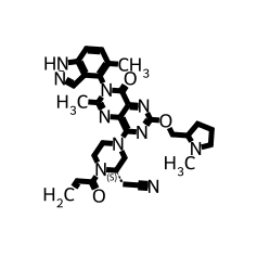 C=CC(=O)N1CCN(c2nc(OCC3CCCN3C)nc3c(=O)n(-c4c(C)ccc5[nH]ncc45)c(C)nc23)C[C@@H]1CC#N